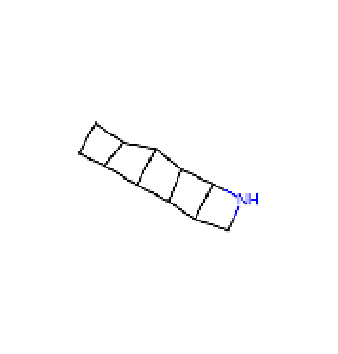 C1CC2C1C1C2C2C3NCC3C12